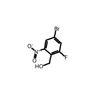 O=[N+]([O-])c1cc(Br)cc(F)c1CO